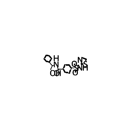 O=C(NC(CO)c1ccccc1)c1ccc(S(=O)(=O)Nc2nccs2)cc1